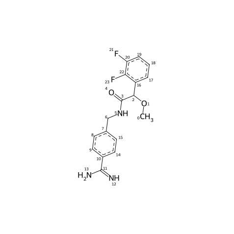 COC(C(=O)NCc1ccc(C(=N)N)cc1)c1cccc(F)c1F